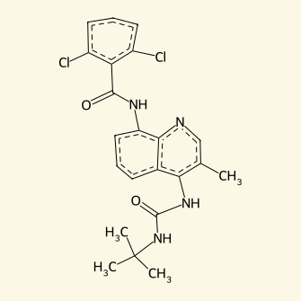 Cc1cnc2c(NC(=O)c3c(Cl)cccc3Cl)cccc2c1NC(=O)NC(C)(C)C